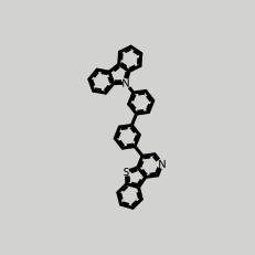 c1cc(-c2cccc(-n3c4ccccc4c4ccccc43)c2)cc(-c2cncc3c2sc2ccccc23)c1